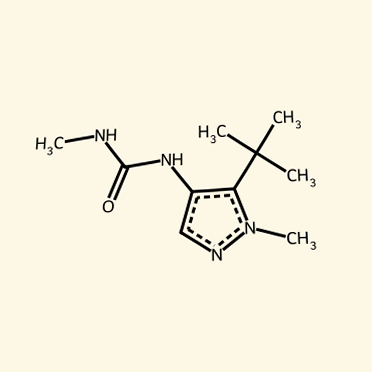 CNC(=O)Nc1cnn(C)c1C(C)(C)C